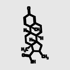 CC1C[C@H]2[C@@H]3CCC4=CC(=O)C=C[C@]4(C)[C@H]3CC[C@]2(C)C1C(=O)S